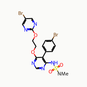 CNS(=O)(=O)Nc1ncnc(OCCOc2ncc(Br)cn2)c1-c1ccc(Br)cc1